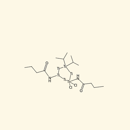 CCCC(=O)[NH][Ti]1[Ti][Ti]([CH](C)C)([CH](C)C)[Ti][Ti]([Cl])([Cl])([NH]C(=O)CCC)[Ti]1